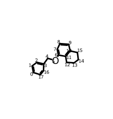 c1ccc(COc2cccc3c2CCCC3)cc1